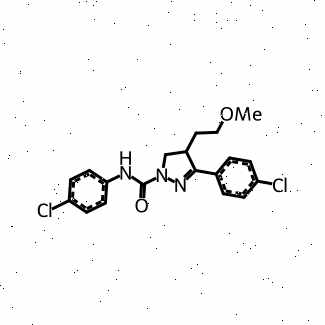 COCCC1CN(C(=O)Nc2ccc(Cl)cc2)N=C1c1ccc(Cl)cc1